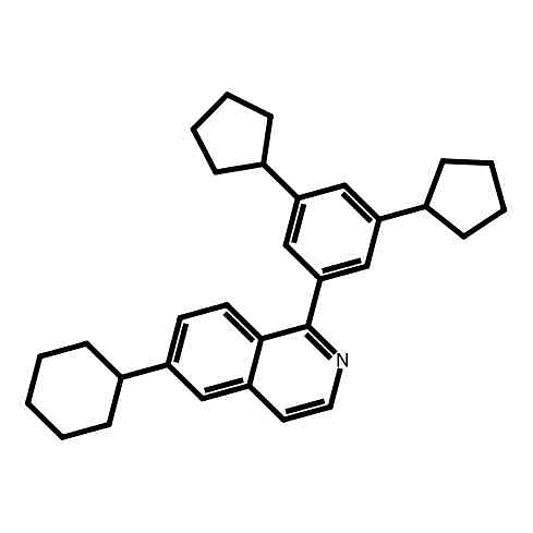 c1cc2cc(C3CCCCC3)ccc2c(-c2cc(C3CCCC3)cc(C3CCCC3)c2)n1